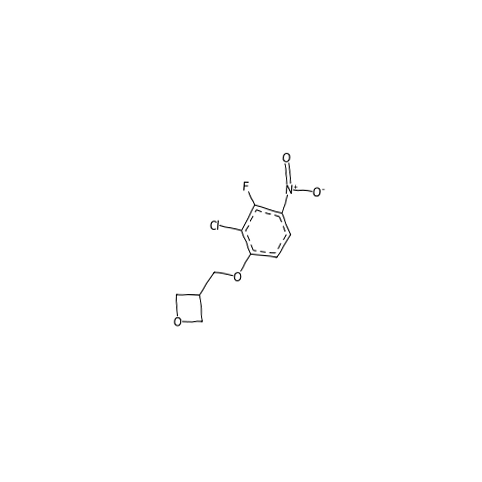 O=[N+]([O-])c1ccc(OCC2COC2)c(Cl)c1F